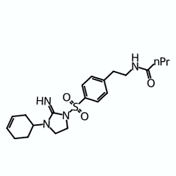 CCCC(=O)NCCc1ccc(S(=O)(=O)N2CCN(C3CC=CCC3)C2=N)cc1